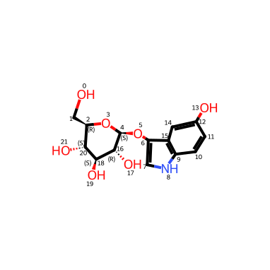 OC[C@H]1O[C@@H](Oc2c[nH]c3ccc(O)cc23)[C@H](O)[C@@H](O)[C@@H]1O